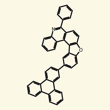 c1ccc(-c2nc3ccccc3c3c2ccc2oc4ccc(-c5ccc6c7ccccc7c7ccccc7c6c5)cc4c23)cc1